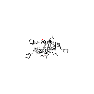 CC(C)C[SiH]1O[SiH](CC(C)C)O[Si](CC(C)C)(O[Si](CC(C)C)(OI)O[Si](C)(C)CCC2CC3C=CC2C3)C[Si](CC(C)C)(O[Si](C)(C)CCC2CC3C=CC2C3)O[SiH](CC(C)C)O[SiH](O[Si](C)(C)CCC2CC3C=CC2C3)O1